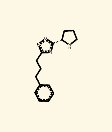 c1ccc(CCCc2noc([C@@H]3CCCN3)n2)cc1